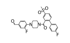 CS(=O)(=O)c1ccc(-c2ccc(F)cc2)c(C(=O)N2CCN(c3ccc(C=O)cc3F)CC2)c1